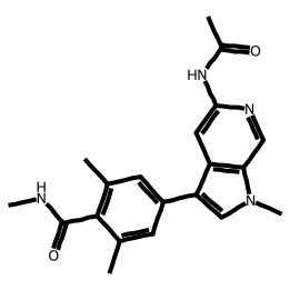 CNC(=O)c1c(C)cc(-c2cn(C)c3cnc(NC(C)=O)cc23)cc1C